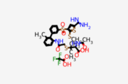 CSc1sc(C(=N)N)cc1S(=O)(=O)c1cccc(-c2c(C)cccc2NC(=O)CSC(C)(C)C(NC(C)=O)C(=O)O)c1.O=C(O)C(F)(F)F